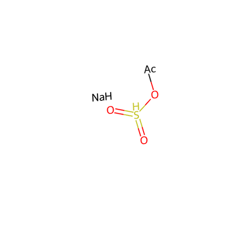 CC(=O)O[SH](=O)=O.[NaH]